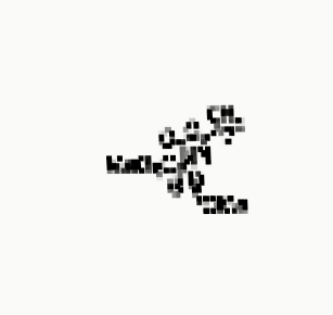 COSOP(=O)(OSOC)n1nc(C2(C)CC2)oc1=O